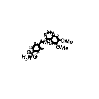 COc1cc2ncnc(NCc3ccc(S(N)(=O)=O)cc3)c2cc1OC